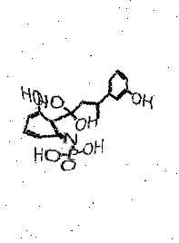 CC(CC(O)(O)C1C(O)=CC=C/C1=N\P(=O)(O)O)c1cccc(O)c1